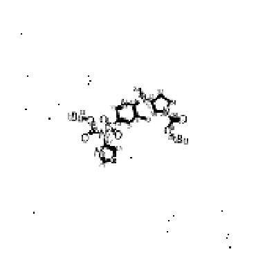 Cc1cc(S(=O)(=O)N(C(=O)OC(C)(C)C)c2cscn2)cnc1N(C)[C@H]1CCN(C(=O)OC(C)(C)C)C1